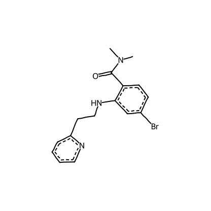 CN(C)C(=O)c1ccc(Br)cc1NCCc1ccccn1